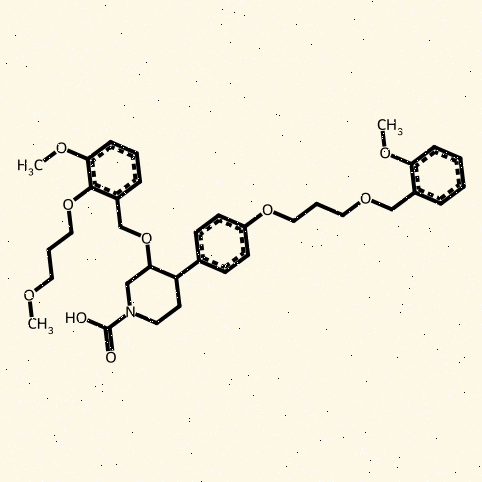 COCCCOc1c(COC2CN(C(=O)O)CCC2c2ccc(OCCCOCc3ccccc3OC)cc2)cccc1OC